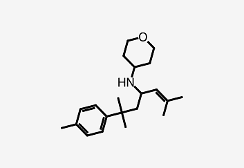 CC(C)=CC(CC(C)(C)c1ccc(C)cc1)NC1CCOCC1